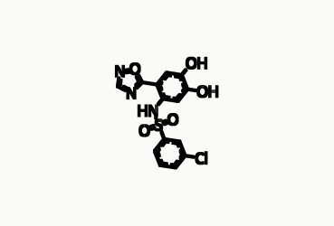 O=S(=O)(Nc1cc(O)c(O)cc1-c1ncno1)c1cccc(Cl)c1